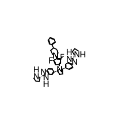 Fc1cc(N2[C@@H](c3ccc4nc([C@@H]5CCCN5)[nH]c4c3)CC[C@H]2c2ccc3nc([C@@H]4CCCN4)[nH]c3c2)cc(F)c1N1CCC(c2ccccc2)CC1